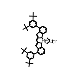 CC1=Cc2c(-c3cc(C(C)(C)C)cc(C(C)(C)C)c3)cccc2[CH]1[Hf+2]1([CH]2C(C)=Cc3c(-c4cc(C(C)(C)C)cc(C(C)(C)C)c4)cccc32)[CH2]C[CH2]1.[Cl-].[Cl-]